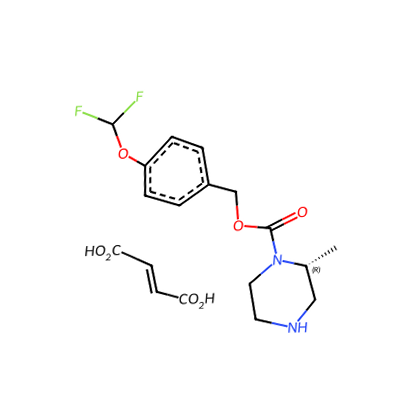 C[C@@H]1CNCCN1C(=O)OCc1ccc(OC(F)F)cc1.O=C(O)C=CC(=O)O